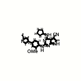 COc1cc(-c2cnn(C)c2)ccc1Nc1nc(NC2CCCC2)c2c(C#N)c[nH]c2n1